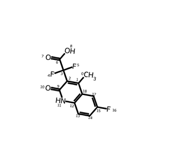 Cc1c(C(F)(F)C(=O)O)c(=O)[nH]c2ccc(F)cc12